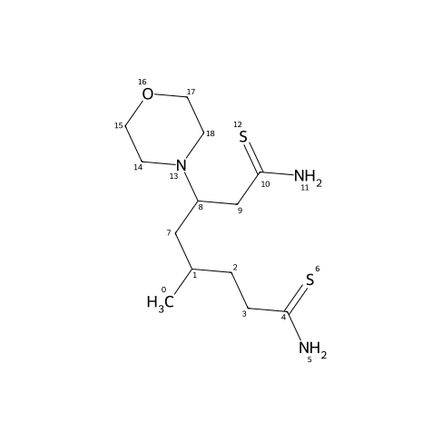 CC(CCC(N)=S)CC(CC(N)=S)N1CCOCC1